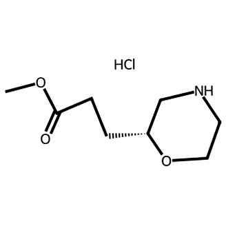 COC(=O)CC[C@@H]1CNCCO1.Cl